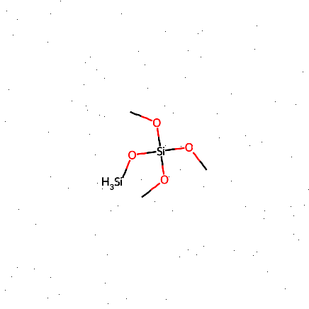 CO[Si](OC)(OC)O[SiH3]